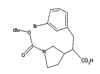 CC(C)(C)OC(=O)N1CCC(C(Cc2cccc(Br)c2)C(=O)O)C1